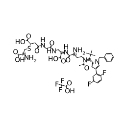 CC(=O)N(CC[C@H](N)C(=O)N[C@H](CNC(=O)CNC(=O)CC(SC[C@H](N)C(=O)O)C(=O)O)C(=O)O)[C@@H](c1cc(-c2cc(F)ccc2F)cn1Cc1ccccc1)C(C)(C)C.O=C(O)C(F)(F)F